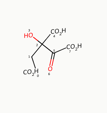 O=C(O)CC(O)(C(=O)O)C(=O)C(=O)O